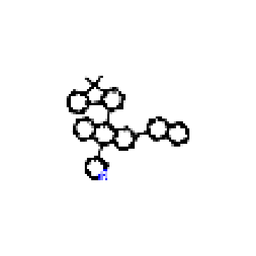 CC1(C)c2ccccc2-c2c(-c3c4ccccc4c(-c4cccnc4)c4ccc(-c5ccc6ccccc6c5)cc34)cccc21